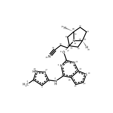 Cc1cc(Nc2nc(O[C@@H]3C[C@H]4CC[C@@H](C3)N4CCC#N)nc3sccc23)n[nH]1